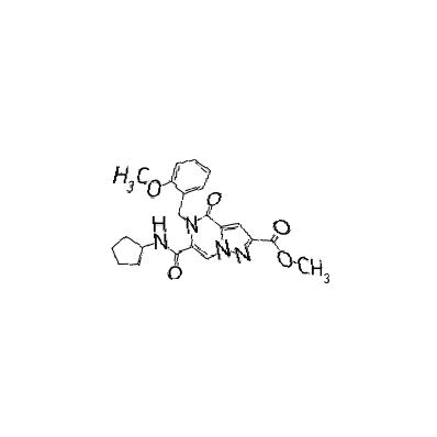 COC(=O)c1cc2c(=O)n(Cc3ccccc3OC)c(C(=O)NC3CCCC3)cn2n1